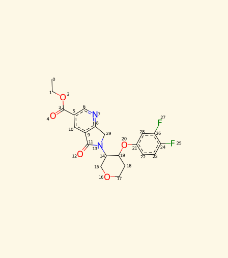 CCOC(=O)c1cnc2c(c1)C(=O)N(C1COCCC1Oc1ccc(F)c(F)c1)C2